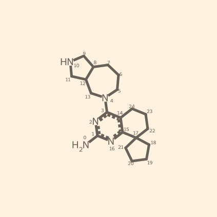 Nc1nc(N2CCCC3CNCC3C2)c2c(n1)C1(CCCC1)CCC2